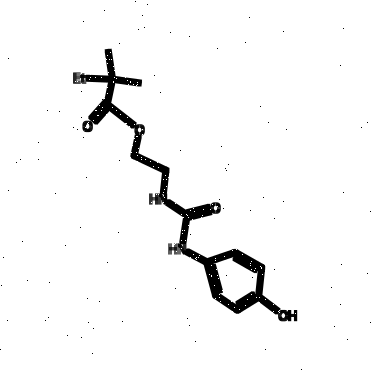 CCC(C)(C)C(=O)OCCNC(=O)Nc1ccc(O)cc1